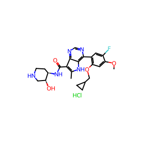 COc1cc(OCC2CC2)c(-c2ncnc3c(C(=O)N[C@@H]4CCNC[C@@H]4O)c(C)[nH]c23)cc1F.Cl